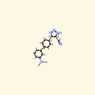 CN(C)c1cccc(-c2ccc(-c3nn[nH]c3C#N)cc2)c1